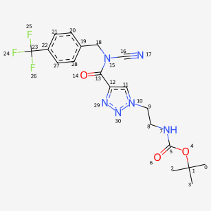 CC(C)(C)OC(=O)NCCn1cc(C(=O)N(C#N)Cc2ccc(C(F)(F)F)cc2)nn1